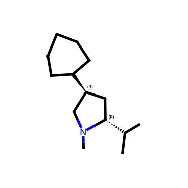 CC(C)[C@H]1C[C@H](C2CCCCC2)CN1C